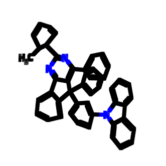 CC1C=CC=CC1c1nc(-c2ccccc2)c2c(n1)-c1ccccc1C2(c1ccccc1)c1cccc(-n2c3ccccc3c3ccccc32)c1